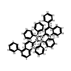 c1ccc(-c2cccc3nc(N4[Si](c5ccccc5)(c5ccccc5)N(c5cc(-c6ccccc6)c6ccccc6n5)[Si]4(c4ccccc4)c4ccccc4)ccc23)cc1